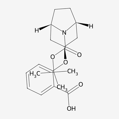 CC(C)(C)OC(=O)N1[C@@H]2CC[C@H]1C[C@H](Oc1ccccc1C(=O)O)C2